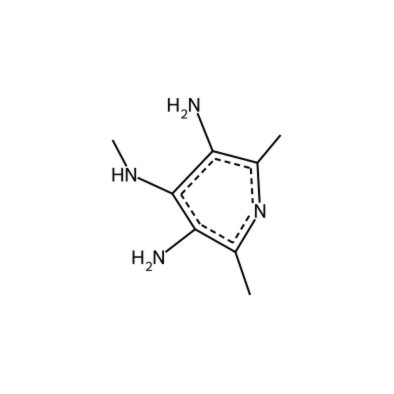 CNc1c(N)c(C)nc(C)c1N